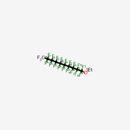 [CH2]COC(F)(F)C(F)(F)C(F)(F)C(F)(F)C(F)(F)C(F)(F)C(F)(F)C(F)(F)C(F)(F)C(F)(F)F